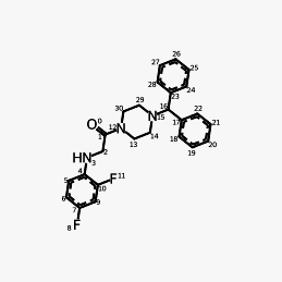 O=C(CNc1ccc(F)cc1F)N1CCN(C(c2ccccc2)c2ccccc2)CC1